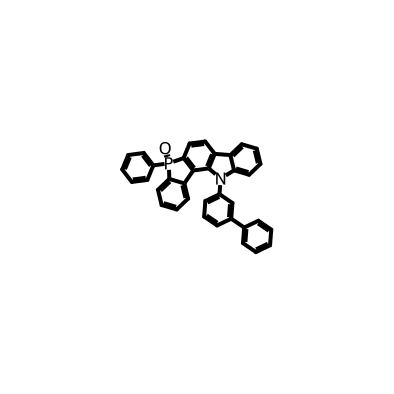 O=P1(c2ccccc2)c2ccccc2-c2c1ccc1c3ccccc3n(-c3cccc(-c4ccccc4)c3)c21